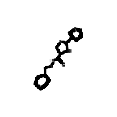 O=C(NOCc1ccccc1)C1CSC(c2cccnc2)N1